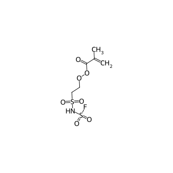 C=C(C)C(=O)OOCCS(=O)(=O)NS(=O)(=O)F